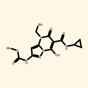 CC(C)(C)Cn1c(=O)c(C(=O)NC2CC2)c(O)n2nc(NC(=O)OC(C)(C)C)cc12